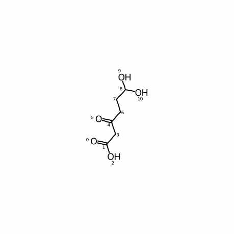 O=C(O)CC(=O)CCC(O)O